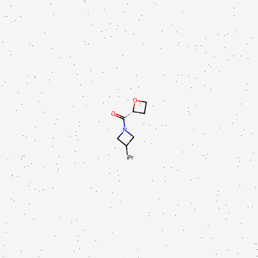 CC(C)C1CN(C(=O)[C@H]2CCO2)C1